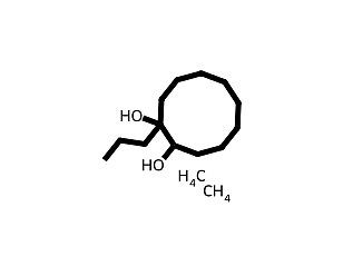 C.C.CCCC1(O)CCCCCCCC[C]1O